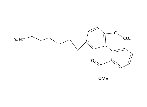 CCCCCCCCCCCCCCCCc1ccc(OC(=O)O)c(-c2ccccc2C(=O)OC)c1